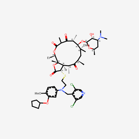 CC[C@H]1OC(=O)C(C)C(=O)[C@H](C)[C@@H](O[C@@H]2O[C@H](C)C[C@H](N(C)C)[C@H]2O)[C@](C)(OC)C[C@@H](C)C(=O)[C@H](C)[C@H]2[C@H](SCCN(Cc3c(Cl)cncc3Cl)c3ccc(OC)c(OC4CCCC4)c3)C(=O)O[C@@]21C